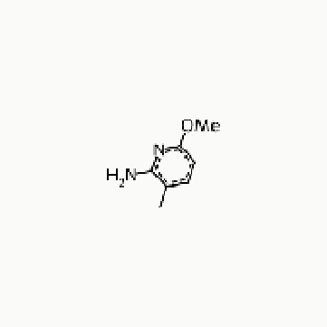 COc1ccc(C)c(N)n1